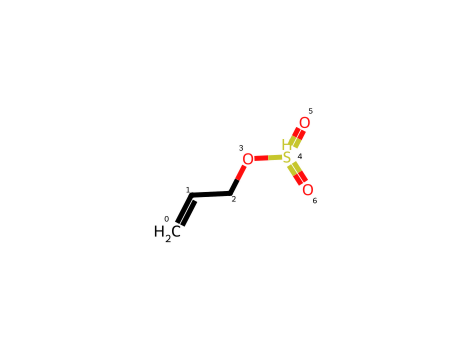 C=CCO[SH](=O)=O